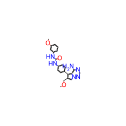 COCc1cn2ncnc(N)c2c1-c1ccc(NC(=O)Nc2cccc(OC)c2)cc1